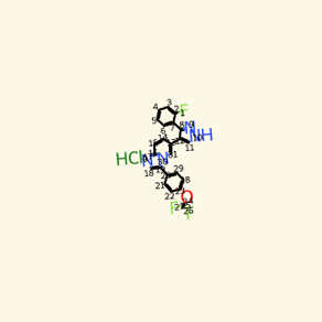 Cl.Fc1ccccc1-c1n[nH]cc1-c1ccc2ncc(-c3ccc(OC(F)F)cc3)n2c1